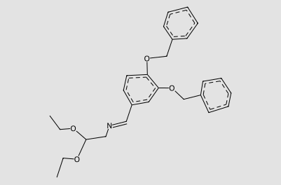 CCOC(CN=Cc1ccc(OCc2ccccc2)c(OCc2ccccc2)c1)OCC